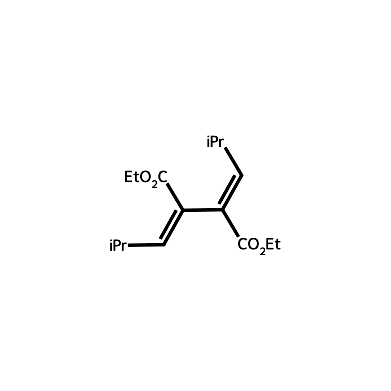 CCOC(=O)C(=CC(C)C)C(=CC(C)C)C(=O)OCC